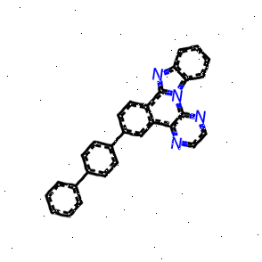 c1ccc(-c2ccc(-c3ccc4c(c3)c3nccnc3n3c5ccccc5nc43)cc2)cc1